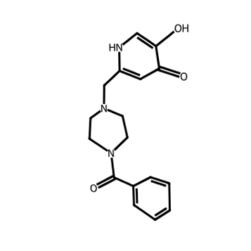 O=C(c1ccccc1)N1CCN(Cc2cc(=O)c(O)c[nH]2)CC1